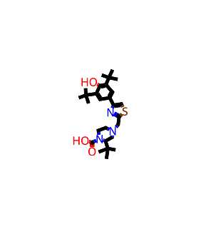 CC(C)(C)c1cc(-c2csc(CN3CCN(C(=O)O)C(C(C)(C)C)C3)n2)cc(C(C)(C)C)c1O